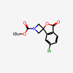 CC(C)(C)OC(=O)N1CC2(C1)OC(=O)c1ccc(Br)cc12